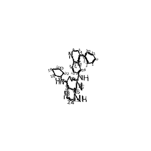 c1ccc(-c2ccnc3ccc(Nc4nc(NC5CCCC5)c5nc[nH]c5n4)cc23)cc1